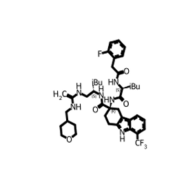 C=C(NCC1CCOCC1)NC[C@@H](NC(=O)[C@@]1(NC(=O)[C@@H](NC(=O)Cc2ccccc2F)C(C)CC)CCc2[nH]c3c(C(F)(F)F)cccc3c2C1)C(C)CC